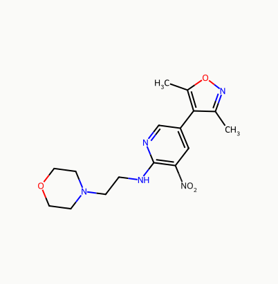 Cc1noc(C)c1-c1cnc(NCCN2CCOCC2)c([N+](=O)[O-])c1